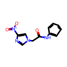 O=C(Cn1cnc([N+](=O)[O-])c1)Nc1ccccc1